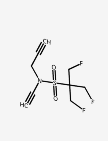 C#CCN(C#C)S(=O)(=O)C(CF)(CF)CF